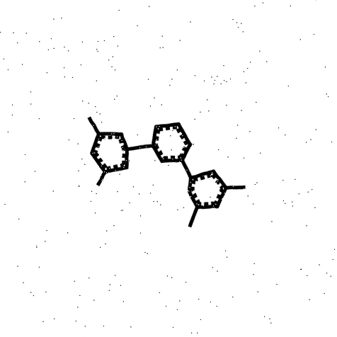 Cc1cc(C)cc(-c2[c]ccc(-c3cc(C)cc(C)c3)c2)c1